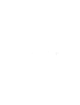 CCC(SSC(C)C)C(C)C